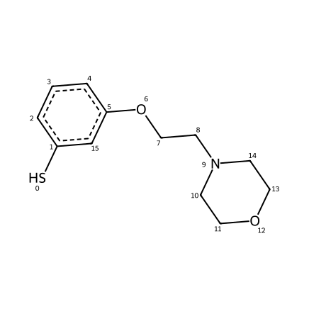 Sc1cccc(OCCN2CCOCC2)c1